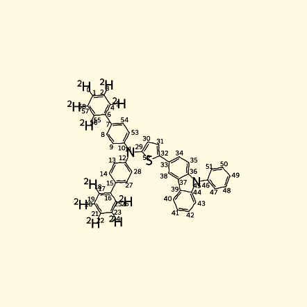 [2H]c1c([2H])c([2H])c(-c2ccc(N(c3ccc(-c4c([2H])c([2H])c([2H])c([2H])c4[2H])cc3)c3ccc(-c4ccc5c(c4)c4ccccc4n5-c4ccccc4)s3)cc2)c([2H])c1[2H]